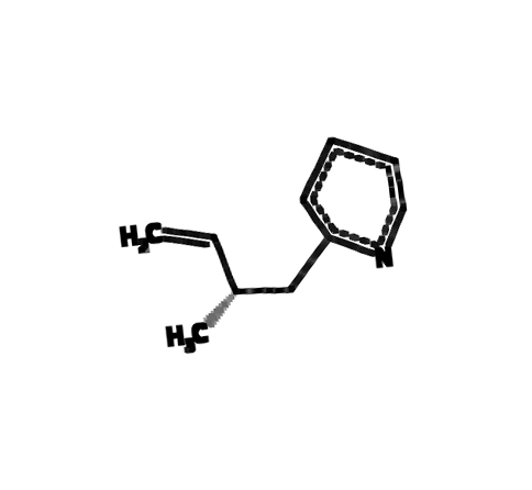 C=C[C@@H](C)Cc1ccccn1